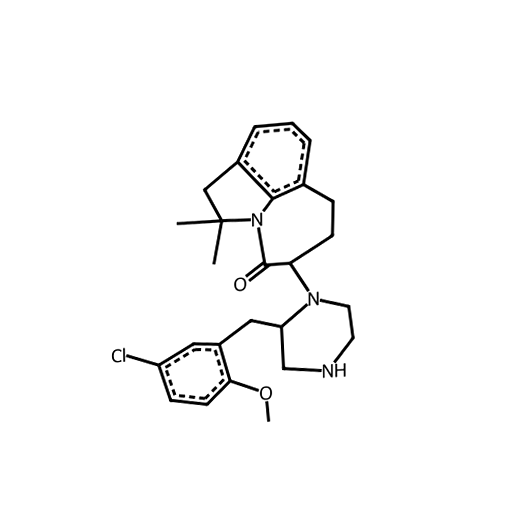 COc1ccc(Cl)cc1CC1CNCCN1C1CCc2cccc3c2N(C1=O)C(C)(C)C3